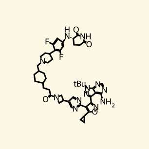 CC(C)(C)n1nc(-c2noc(C3CC3)c2-c2ncc(C3CN(C(=O)CCC4CCC(CN5CCC(c6c(F)cc(N[C@H]7CCC(=O)NC7=O)cc6F)CC5)CC4)C3)cn2)c2c(N)ncnc21